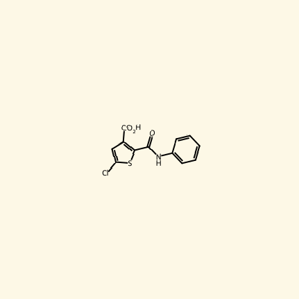 O=C(O)c1cc(Cl)sc1C(=O)Nc1ccccc1